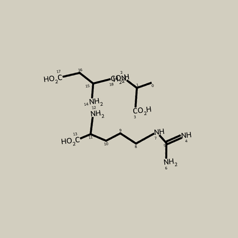 CC(N)C(=O)O.N=C(N)NCCCC(N)C(=O)O.NC(CC(=O)O)C(=O)O